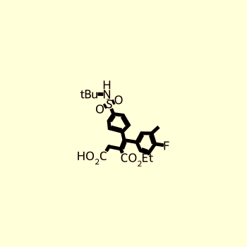 CCOC(=O)/C(CC(=O)O)=C(/c1ccc(S(=O)(=O)NC(C)(C)C)cc1)c1ccc(F)c(C)c1